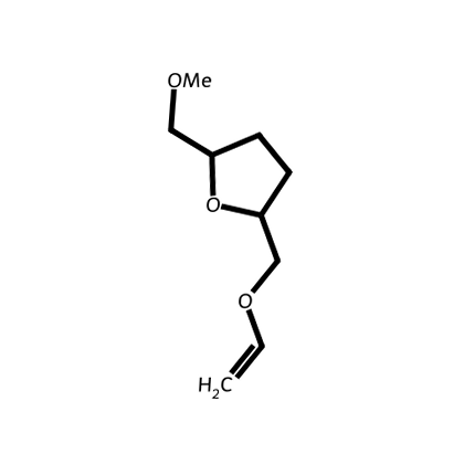 C=COCC1CCC(COC)O1